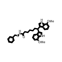 COc1cccc2c(C(CCCCCC(=O)NOCc3ccccc3)c3c[nH]c4c(OC)cccc34)c[nH]c12